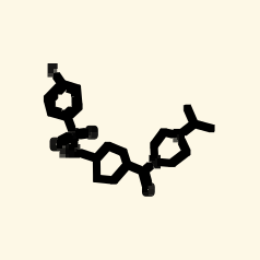 CC(C)N1CCN(C(=O)C2CCC(NS(=O)(=O)c3ccc(F)cc3)CC2)CC1